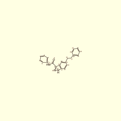 O=C(Nc1ccccc1)c1n[nH]c2ccc(CCc3ccccc3)cc12